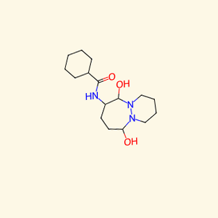 O=C(NC1CCC(O)N2CCCCN2C1O)C1CCCCC1